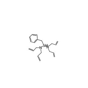 C=CCN(CC=C)[SiH](Cc1ccccc1)N(CC=C)CC=C